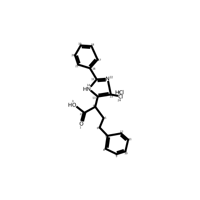 Cl.O=C(O)C(CCc1ccccc1)c1[nH]c(-c2ccccc2)nc1Cl